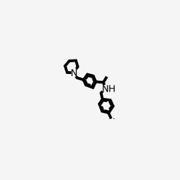 [CH2]c1ccc(CNC(C)c2ccc(CN3CCCCC3)cc2)cc1